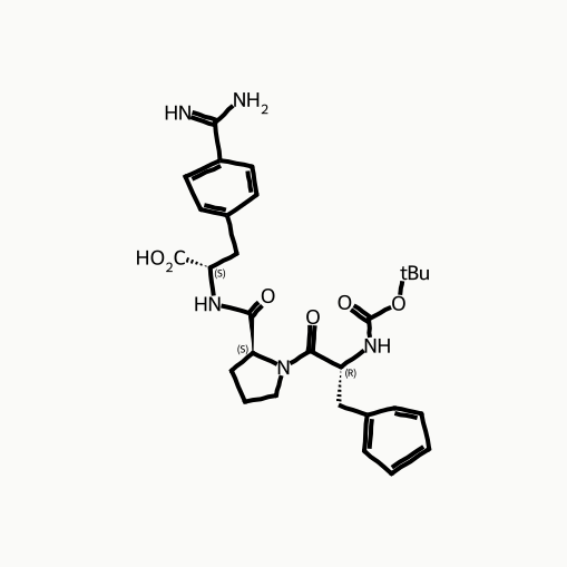 CC(C)(C)OC(=O)N[C@H](Cc1ccccc1)C(=O)N1CCC[C@H]1C(=O)N[C@@H](Cc1ccc(C(=N)N)cc1)C(=O)O